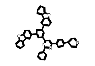 c1ccc(-c2nc(-c3ccc(-c4ccncc4)cc3)cc(-c3cc(-c4ccc5oc6ccccc6c5c4)cc(-c4ccc5oc6ccccc6c5c4)c3)n2)cc1